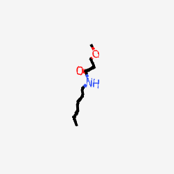 CCCCCCNC(=O)CCOC